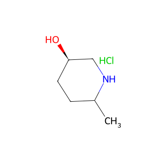 CC1CC[C@@H](O)CN1.Cl